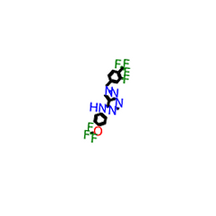 Fc1cc(Cn2cc3c(Nc4ccc(OC(F)(F)F)cc4)ncnc3n2)ccc1C(F)(F)F